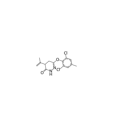 C=C(C)C1CC(Oc2c(Cl)cc(C)cc2Cl)=NNC1=O